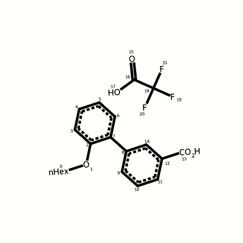 CCCCCCOc1ccccc1-c1cccc(C(=O)O)c1.O=C(O)C(F)(F)F